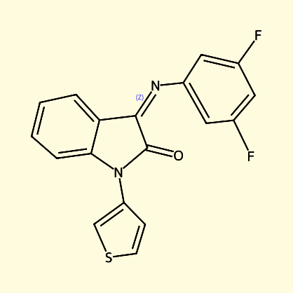 O=C1/C(=N\c2cc(F)cc(F)c2)c2ccccc2N1c1ccsc1